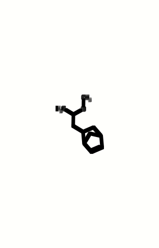 COC(C)CC1CC2C=CC1C2